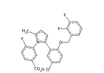 Cc1ccc(-c2cc(Cl)ccc2OCc2cccc(F)c2F)n1-c1cc(C(=O)O)ccc1F